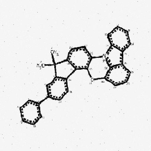 CC1(C)c2cc(-c3ccccc3)ccc2-c2c1ccc1c2Oc2cccc3c4ccccc4n-1c23